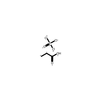 CCC(=O)O.O=P(Cl)(Cl)Cl